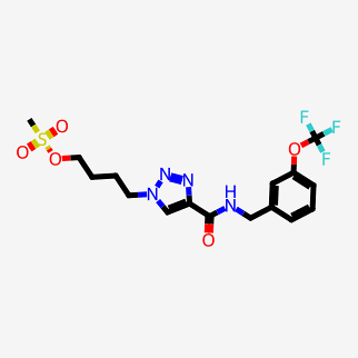 CS(=O)(=O)OCCCCn1cc(C(=O)NCc2cccc(OC(F)(F)F)c2)nn1